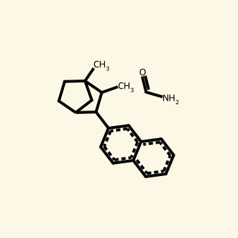 CC1C(c2ccc3ccccc3c2)C2CCC1(C)C2.NC=O